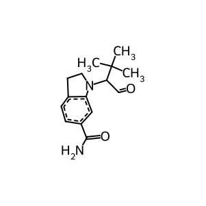 CC(C)(C)C(C=O)N1CCc2ccc(C(N)=O)cc21